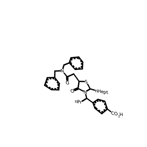 CCCCCCCC1SC(CC(=O)N(Cc2ccccc2)Cc2ccccc2)C(=O)N1C(CCC)c1ccc(C(=O)O)cc1